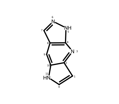 c1cc2nc3[nH]ncc3cc2[nH]1